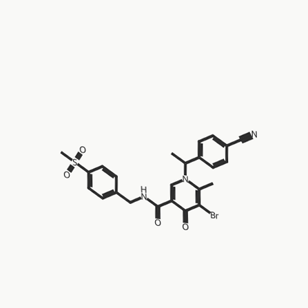 Cc1c(Br)c(=O)c(C(=O)NCc2ccc(S(C)(=O)=O)cc2)cn1C(C)c1ccc(C#N)cc1